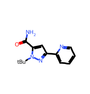 CC(C)(C)n1nc(-c2ccccn2)cc1C(N)=O